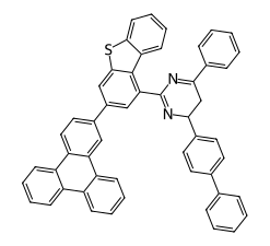 c1ccc(C2=NC(c3cc(-c4ccc5c6ccccc6c6ccccc6c5c4)cc4sc5ccccc5c34)=NC(c3ccc(-c4ccccc4)cc3)C2)cc1